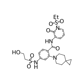 CCS(=O)(=O)n1cccc(NC(=O)c2ccc(NS(=O)(=O)CCO)cc2N2CCC3(CC2)CC3)c1=O